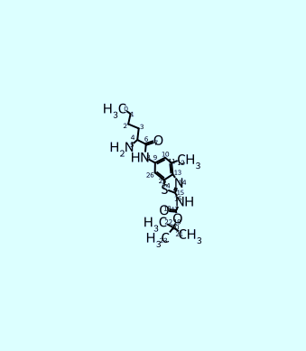 CCCCC(N)C(=O)Nc1cc(C)c2nc(NC(=O)OC(C)(C)C)sc2c1